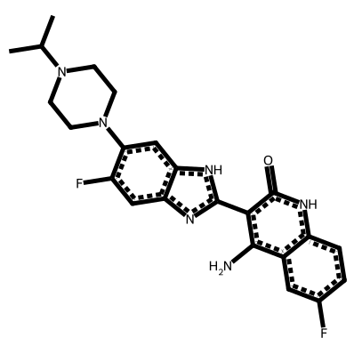 CC(C)N1CCN(c2cc3[nH]c(-c4c(N)c5cc(F)ccc5[nH]c4=O)nc3cc2F)CC1